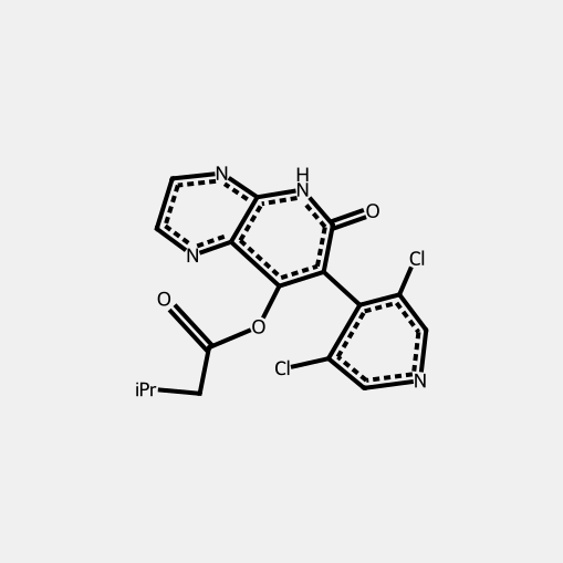 CC(C)CC(=O)Oc1c(-c2c(Cl)cncc2Cl)c(=O)[nH]c2nccnc12